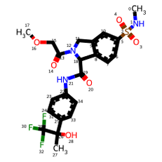 CNS(=O)(=O)c1ccc2c(c1)CN(C(=O)COC)C2C(=O)Nc1ccc(C(C)(O)C(F)(F)F)cc1